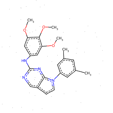 COc1cc(Nc2ncc3ccn(-c4cc(C)cc(C)c4)c3n2)cc(OC)c1OC